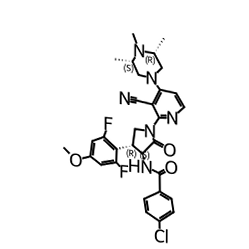 COc1cc(F)c([C@@H]2CN(c3nccc(N4C[C@@H](C)N(C)[C@@H](C)C4)c3C#N)C(=O)[C@H]2NC(=O)c2ccc(Cl)cc2)c(F)c1